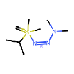 C=S(C)(C)(/N=N\N(C)C)C(C)C